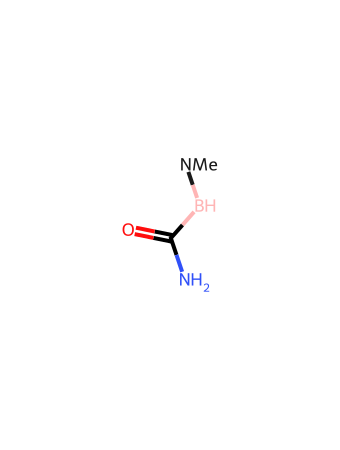 CNBC(N)=O